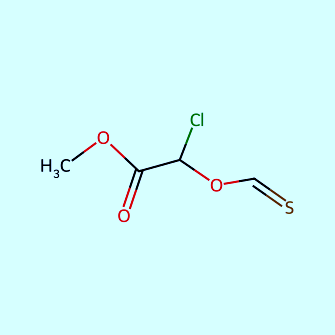 COC(=O)C(Cl)OC=S